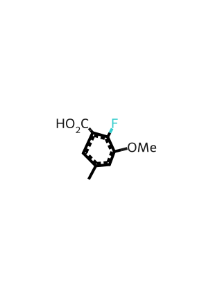 COc1cc(C)cc(C(=O)O)c1F